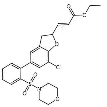 CCOC(=O)/C=C/C1Cc2cc(-c3ccccc3S(=O)(=O)N3CCOCC3)cc(Cl)c2O1